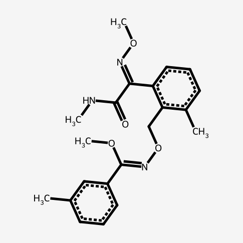 CNC(=O)/C(=N/OC)c1cccc(C)c1CO/N=C(\OC)c1cccc(C)c1